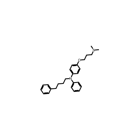 CN(C)CCCOc1ccc(N(CCCCc2ccccc2)c2ccccc2)cc1